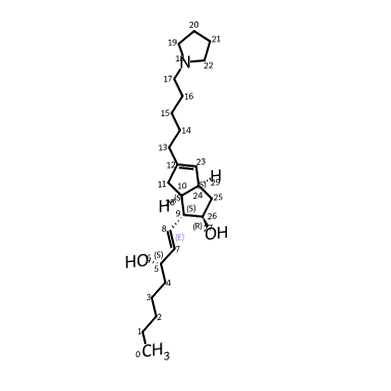 CCCCC[C@H](O)/C=C/[C@@H]1[C@H]2CC(CCCCCN3CCCC3)=C[C@H]2C[C@H]1O